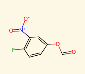 O=COc1ccc(F)c([N+](=O)[O-])c1